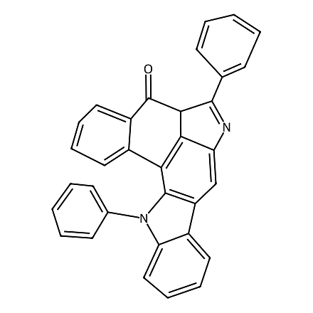 O=C1c2ccccc2-c2c3c(cc4c5ccccc5n(-c5ccccc5)c24)N=C(c2ccccc2)C13